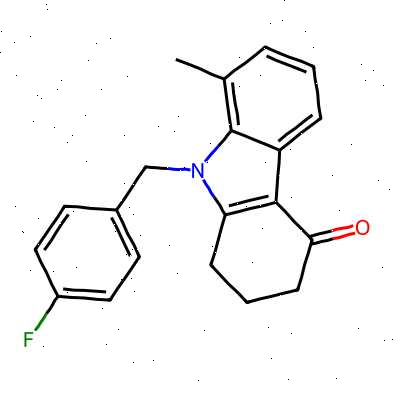 Cc1cccc2c3c(n(Cc4ccc(F)cc4)c12)CCCC3=O